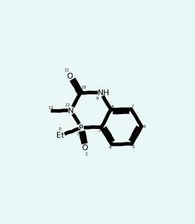 CCP1(=O)c2ccccc2NC(=O)N1C